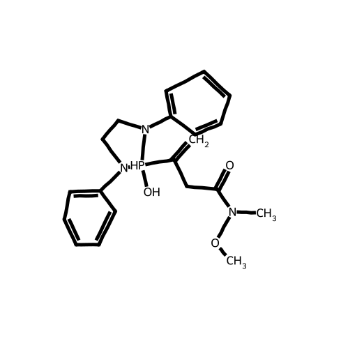 C=C(CC(=O)N(C)OC)[PH]1(O)N(c2ccccc2)CCN1c1ccccc1